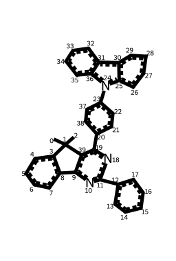 CC1(C)c2ccccc2-c2nc(-c3ccccc3)nc(-c3ccc(-n4c5ccccc5c5ccccc54)cc3)c21